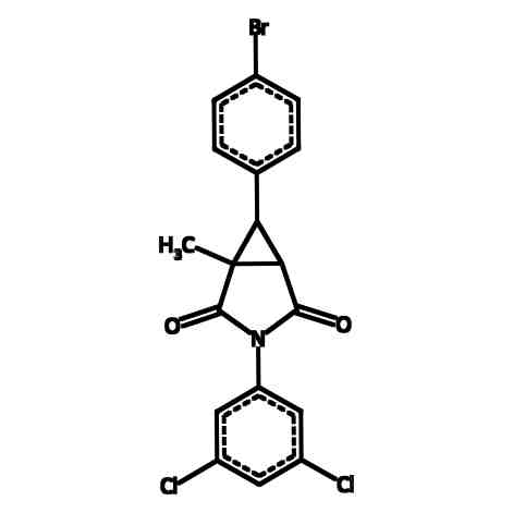 CC12C(=O)N(c3cc(Cl)cc(Cl)c3)C(=O)C1C2c1ccc(Br)cc1